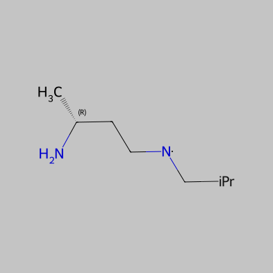 CC(C)C[N]CC[C@@H](C)N